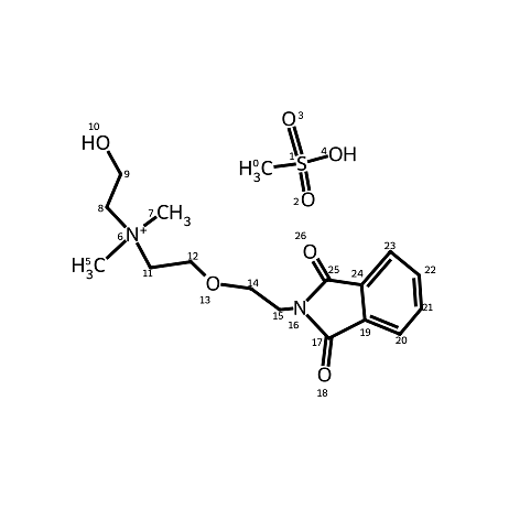 CS(=O)(=O)O.C[N+](C)(CCO)CCOCCN1C(=O)c2ccccc2C1=O